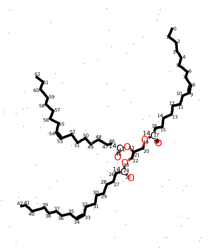 CCCCCCCC/C=C\CCCCCCC[14C](=O)OCC(CO[14C](=O)CCCCCCC/C=C\CCCCCCCC)O[14C](=O)CCCCCCC/C=C\CCCCCCCC